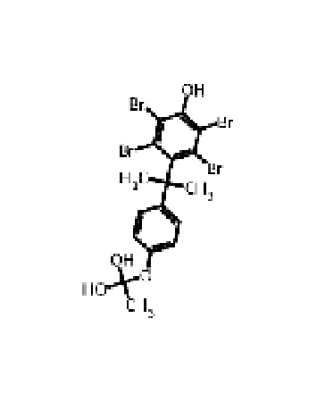 CC(O)(O)Oc1ccc(C(C)(C)c2c(Br)c(Br)c(O)c(Br)c2Br)cc1